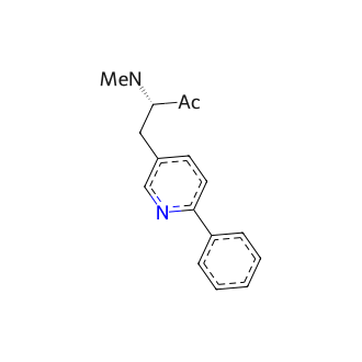 CN[C@@H](Cc1ccc(-c2ccccc2)nc1)C(C)=O